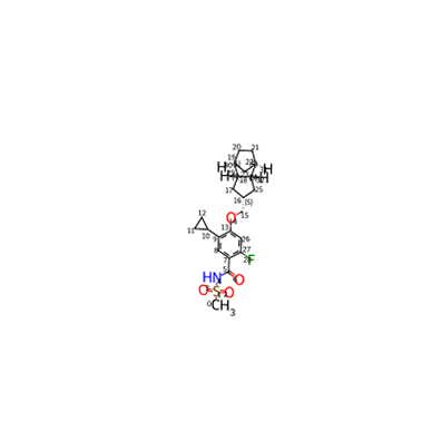 CS(=O)(=O)NC(=O)c1cc(C2CC2)c(OC[C@@H]2C[C@@H]3[C@H]4CC[C@H](C4)[C@@H]3C2)cc1F